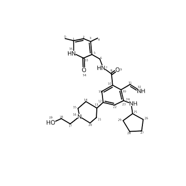 Cc1cc(C)c(CNC(=O)c2cc(C3CCN(CCO)CC3)cc(NC3CCCC3)c2C=N)c(=O)[nH]1